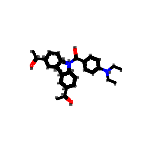 CCN(CC)c1ccc(C(=O)n2c3ccc(C(C)=O)cc3c3cc(C(C)=O)ccc32)cc1